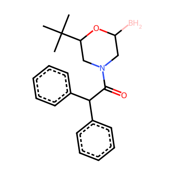 BC1CN(C(=O)C(c2ccccc2)c2ccccc2)CC(C(C)(C)C)O1